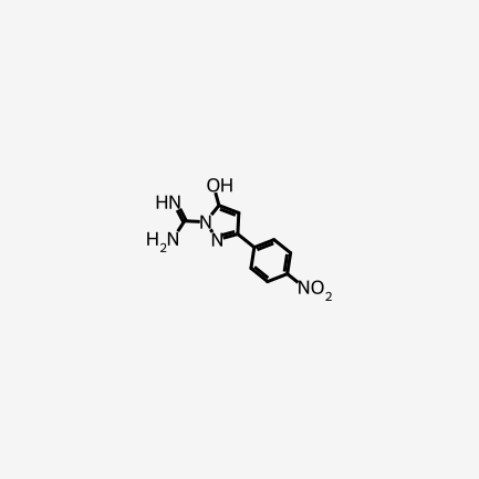 N=C(N)n1nc(-c2ccc([N+](=O)[O-])cc2)cc1O